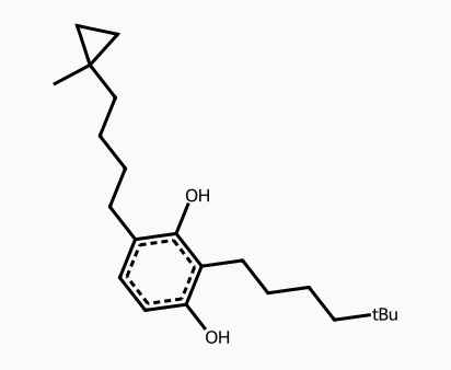 CC(C)(C)CCCCc1c(O)ccc(CCCCC2(C)CC2)c1O